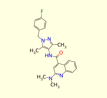 Cc1nn(Cc2ccc(F)cc2)c(C)c1NC(=O)c1cc(N(C)C)nc2ccccc12